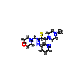 CCN1CCN(C(C(=S)NCN2CCOCC2)c2ccccn2)CC1